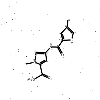 COC(=O)c1cc(NC(=O)c2cc(C)cs2)cn1C